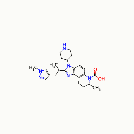 CC(Cc1cnn(C)c1)c1nc2c3c(ccc2n1C1CCNCC1)N(C(=O)O)C(C)CC3